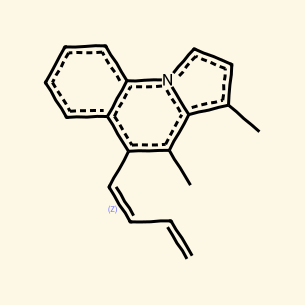 C=C/C=C\c1c(C)c2c(C)ccn2c2ccccc12